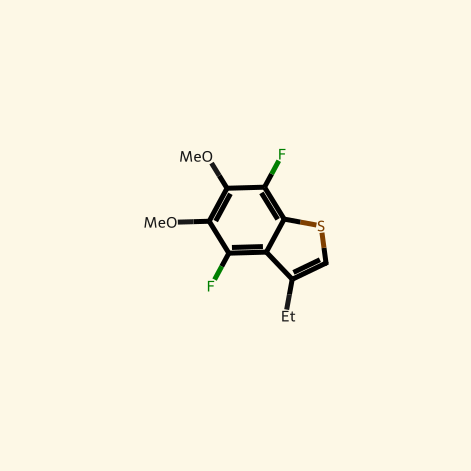 CCc1csc2c(F)c(OC)c(OC)c(F)c12